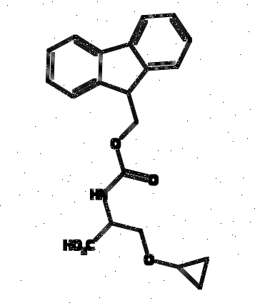 O=C(NC(COC1CC1)C(=O)O)OCC1c2ccccc2-c2ccccc21